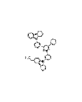 C=Cc1ccc2c(c1)c1ccccc1n2-c1cccc(-c2nc(-c3ccccc3)cc(-c3cccc(-n4c5ccccc5c5ccccc54)c3)n2)c1